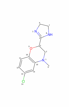 CN1CC(C2=NCCN2)Oc2ccc(Cl)cc21